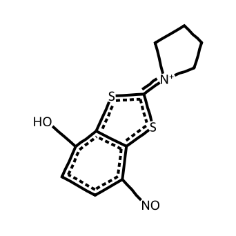 O=Nc1ccc(O)c2sc(=[N+]3CCCC3)sc12